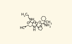 C#CCCC(NC(=O)[C@@H]1CCCN1C(=O)[C@@H](N)C1(C)CCCCC1)C(=O)C(=O)NCC=C